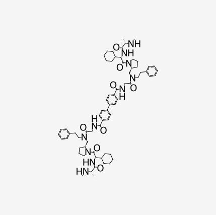 CN[C@@H](C)C(=O)N[C@H](C(=O)N1CCC[C@H]1CN(CCc1ccccc1)C(=O)CNC(=O)c1ccc(-c2ccc(C(=O)NCC(=O)N(CCc3ccccc3)C[C@@H]3CCCN3C(=O)[C@@H](NC(=O)[C@H](C)NC)C3CCCCC3)cc2)cc1)C1CCCCC1